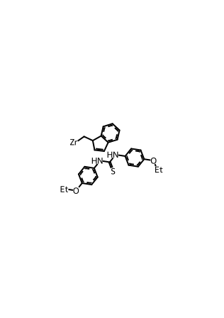 CCOc1ccc(NC(=S)Nc2ccc(OCC)cc2)cc1.[Zr][CH2]C1C=Cc2ccccc21